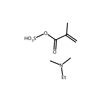 C=C(C)C(=O)OS(=O)(=O)O.CCN(C)C